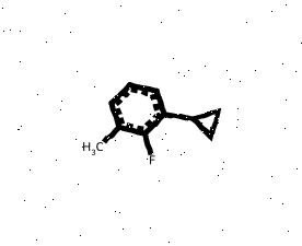 Cc1cccc(C2CC2)c1F